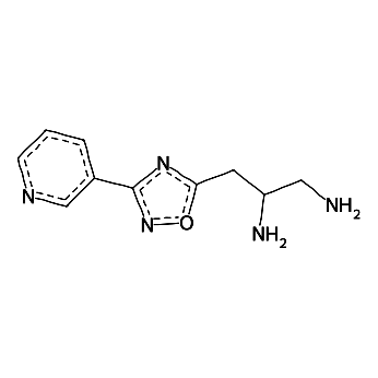 NCC(N)Cc1nc(-c2cccnc2)no1